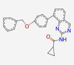 O=C(Nc1ncc2cccc(-c3ccc(OCc4ccccc4)cc3)c2n1)C1CC1